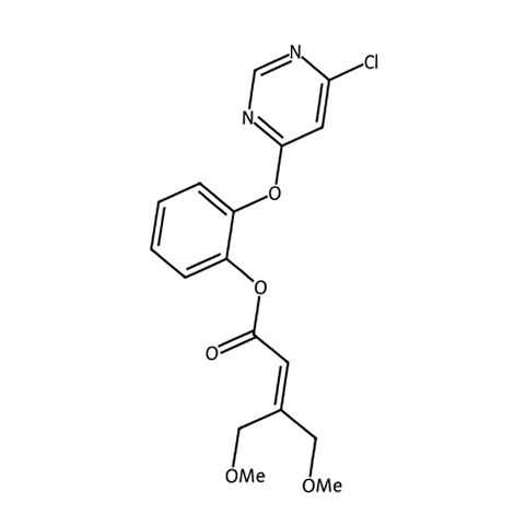 COCC(=CC(=O)Oc1ccccc1Oc1cc(Cl)ncn1)COC